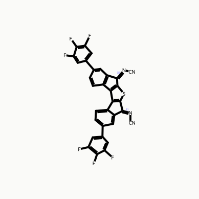 N#C/N=c1/c2cc(-c3cc(F)c(F)c(F)c3)ccc2c2c1sc1/c(=N/C#N)c3cc(-c4cc(F)c(F)c(F)c4)ccc3c12